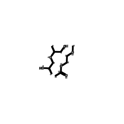 CC(O)COC(C)CO.COCCOC(C)=O